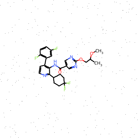 COC(C)COc1ncc(C(=O)Nc2c(-c3cc(F)ccc3F)ccnc2C2CCC(F)(F)CC2)cn1